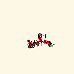 CC[N+]1=C(/C=C/C=C/C=C2/N(CCCCCC(=O)NCCCC[C@H](NC(=O)OCc3ccccc3)C(=O)COC(=O)c3c(C)cccc3C)c3ccc(SOOO)cc3C2(C)C)C(C)(C)c2cc(SOO[O-])ccc21